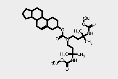 CC(C)(CCN(CCC(C)(C)NC(=O)OC(C)(C)C)C(=O)OC1CCC2C(=CCC3C4CCCC4CCC23)C1)NC(=O)OC(C)(C)C